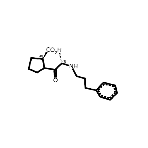 C[C@H](NCCCc1ccccc1)C(=O)C1CCC[C@H]1C(=O)O